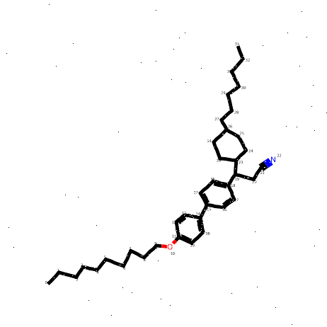 CCCCCCCCCCOc1ccc(-c2ccc(C(CC#N)C3CCC(CCCCCCC)CC3)cc2)cc1